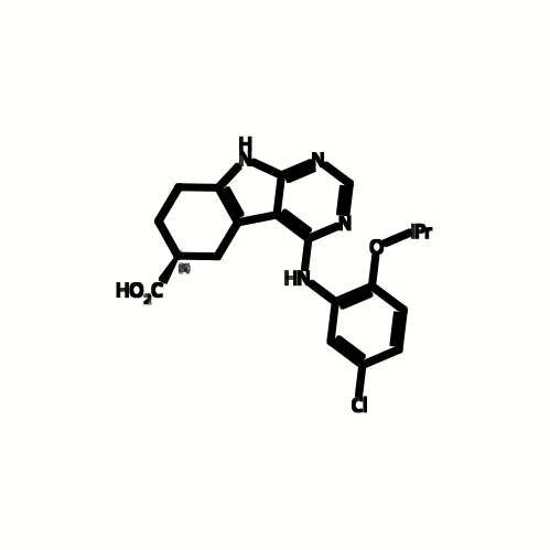 CC(C)Oc1ccc(Cl)cc1Nc1ncnc2[nH]c3c(c12)C[C@@H](C(=O)O)CC3